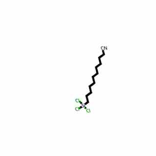 N#CCCCCCCCCCCC[Si](Cl)(Cl)Cl